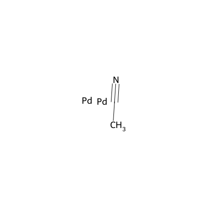 CC#N.[Pd].[Pd]